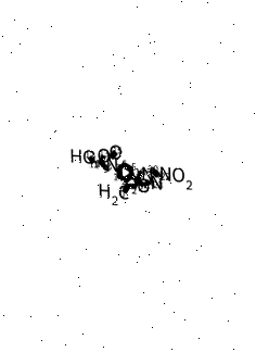 C=CCC1(c2ccc(N3C[C@H](CO)OC3=O)cc2)Cn2cc([N+](=O)[O-])nc2O1